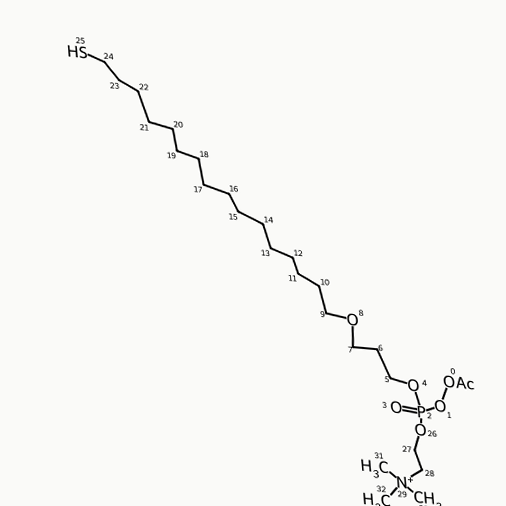 CC(=O)OOP(=O)(OCCCOCCCCCCCCCCCCCCCCS)OCC[N+](C)(C)C